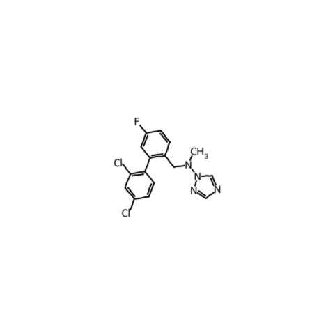 CN(Cc1ccc(F)cc1-c1ccc(Cl)cc1Cl)n1cncn1